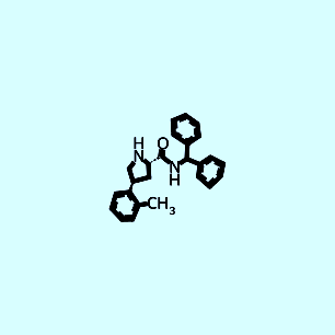 Cc1ccccc1[C@H]1CN[C@H](C(=O)NC(c2ccccc2)c2ccccc2)C1